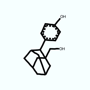 OCC12CC3CC(CC(C3)C1c1ccc(O)cc1)C2